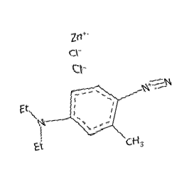 CCN(CC)c1ccc([N+]#N)c(C)c1.[Cl-].[Cl-].[Zn+]